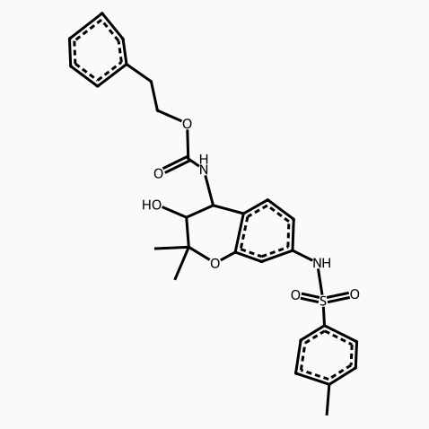 Cc1ccc(S(=O)(=O)Nc2ccc3c(c2)OC(C)(C)C(O)C3NC(=O)OCCc2ccccc2)cc1